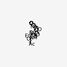 CC[C@@H](NC(=O)CCC(C)=O)C(=O)O[C@]1(CC)C(=O)OCc2c1cc1n(c2=O)Cc2cc3ccccc3nc2-1